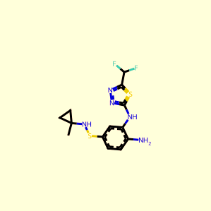 CC1(NSc2ccc(N)c(Nc3nnc(C(F)F)s3)c2)CC1